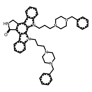 O=C1NCc2c1c1c3ccccc3n(CCCN3CCN(Cc4ccccc4)CC3)c1c1c2c2ccccc2n1CCCN1CCN(Cc2ccccc2)CC1